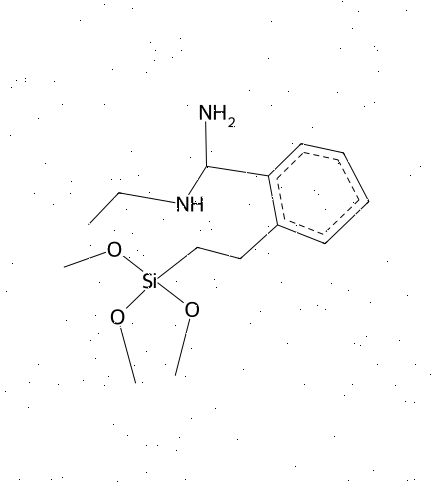 CCNC(N)c1ccccc1CC[Si](OC)(OC)OC